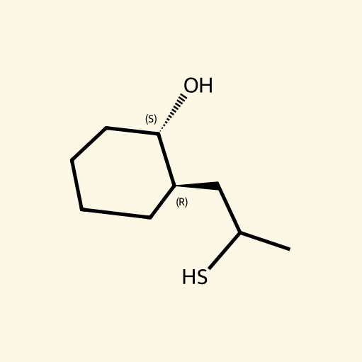 CC(S)C[C@H]1CCCC[C@@H]1O